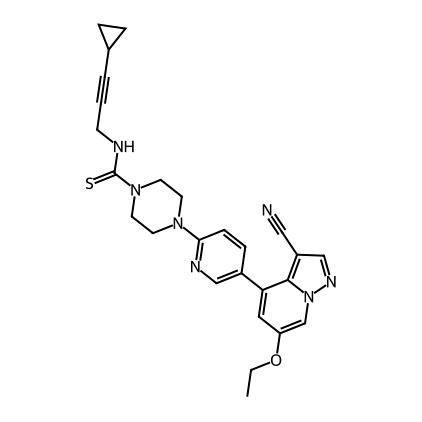 CCOc1cc(-c2ccc(N3CCN(C(=S)NCC#CC4CC4)CC3)nc2)c2c(C#N)cnn2c1